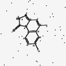 Cc1cc2n[nH]c(=O)n2c2ccc(I)cc12